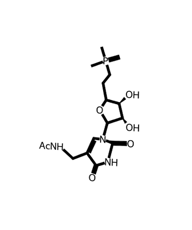 C=P(C)(C)CCC1OC(n2cc(CNC(C)=O)c(=O)[nH]c2=O)[C@H](O)[C@@H]1O